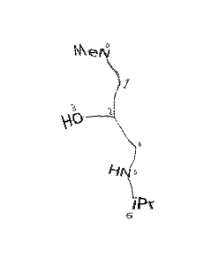 CNCC(O)CNC(C)C